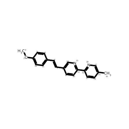 COc1ccc(/C=C/c2ccc(-c3ccc(C)cn3)nc2)cc1